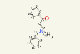 CN(C=CC(=O)c1ccccc1)Cc1ccccc1